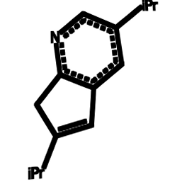 CC(C)C1=Cc2cc(C(C)C)cnc2C1